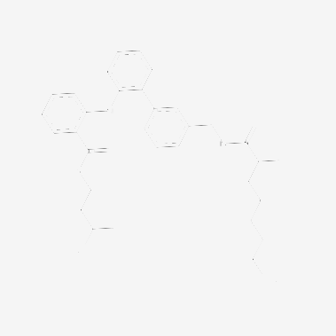 CCCCCCC(C)C(=O)NCc1cccc(-c2ccccc2Nc2ccccc2C(=O)NCCC(C)C)c1